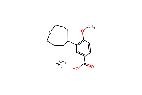 COc1ccc(C(=O)O)cc1[C]1CCCCCCC1.[CH2].[CH2]